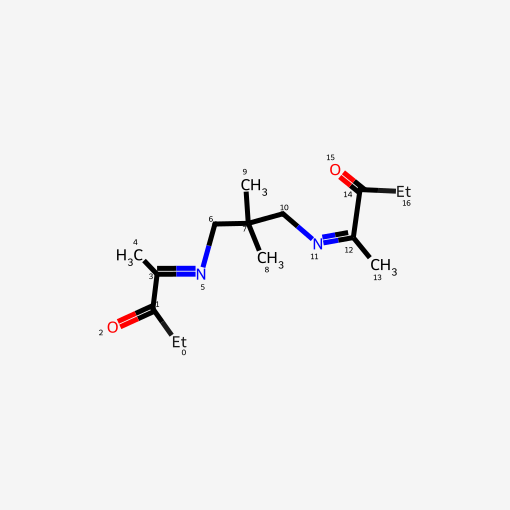 CCC(=O)C(C)=NCC(C)(C)CN=C(C)C(=O)CC